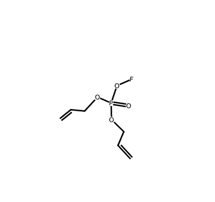 C=CCOP(=O)(OF)OCC=C